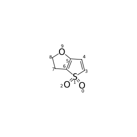 O=S1(=O)C=CC2=C1CCO2